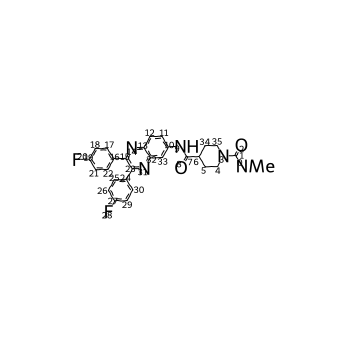 CNC(=O)N1CCC(C(=O)Nc2ccc3nc(-c4ccc(F)cc4)c(-c4ccc(F)cc4)nc3c2)CC1